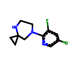 Fc1cc(Cl)cnc1N1CCNC2(CC2)C1